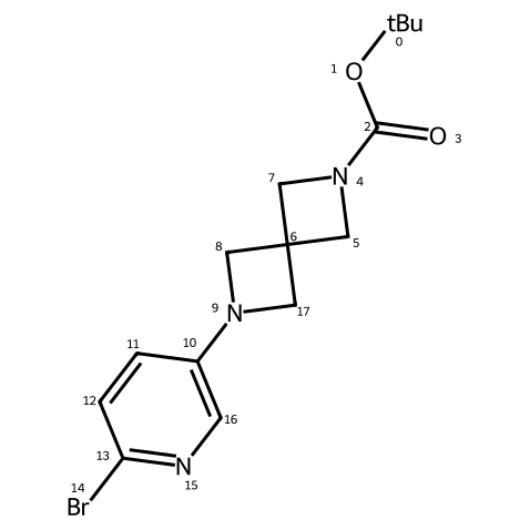 CC(C)(C)OC(=O)N1CC2(C1)CN(c1ccc(Br)nc1)C2